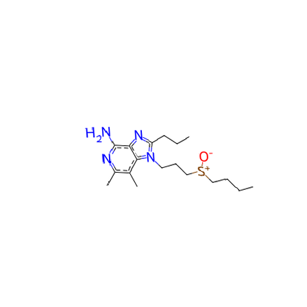 CCCC[S+]([O-])CCCn1c(CCC)nc2c(N)nc(C)c(C)c21